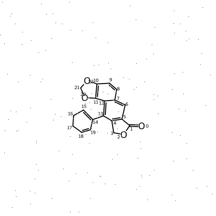 O=C1OCc2c1cc1ccc3c(c1c2C1=CCCC=C1)OCO3